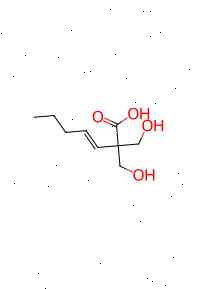 CCCC=CC(CO)(CO)C(=O)O